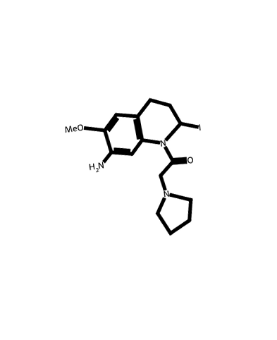 COc1cc2c(cc1N)N(C(=O)CN1CCCC1)C(I)CC2